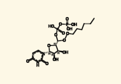 CCCCCCOOC(OP(=O)(O)OP(=O)(O)O)[C@H]1O[C@@H](n2ccc(=O)[nH]c2=O)[C@H](O)[C@@H]1O